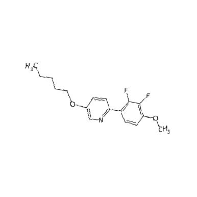 CCCCCOc1ccc(-c2ccc(OC)c(F)c2F)nc1